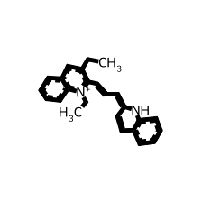 CCc1cc2ccccc2[n+](CC)c1C=CC=C1C=Cc2ccccc2N1